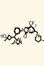 C[C@H]1CCCN(Cc2cc(C(F)(F)F)c3cn(-c4cccc(C(c5nncn5C)C5CC(C)(O)C5)c4)c(=O)n3c2)C1